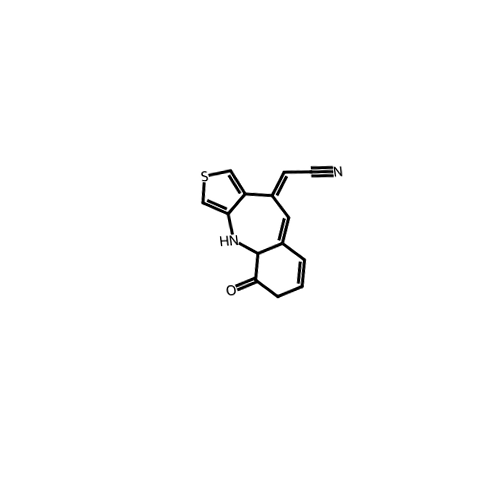 N#C/C=C1\C=C2C=CCC(=O)C2Nc2cscc21